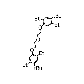 CCc1cc(C(C)(C)C)c(CC)cc1OCCOCCOc1cc(CC)c(C(C)(C)C)cc1CC